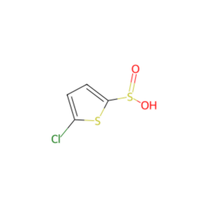 O=S(O)c1ccc(Cl)s1